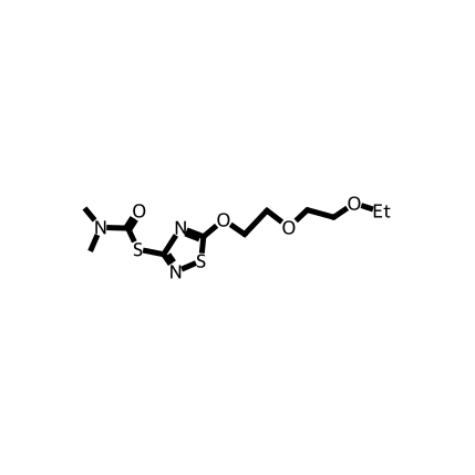 CCOCCOCCOc1nc(SC(=O)N(C)C)ns1